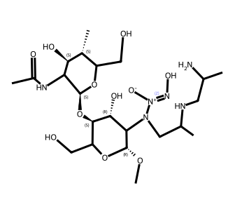 CO[C@@H]1OC(CO)[C@@H](O[C@@H]2OC(CO)[C@@H](C)[C@H](O)C2NC(C)=O)[C@H](O)C1N(CC(C)NCC(C)N)/[N+]([O-])=N/O